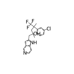 CC(O)(Cc1cc2cnccc2[nH]1)CC(C)(c1cccc(Cl)c1)C(F)(F)F